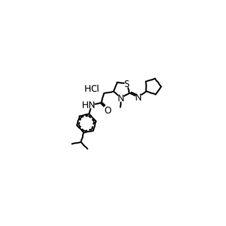 CC(C)c1ccc(NC(=O)CC2CS/C(=N\C3CCCC3)N2C)cc1.Cl